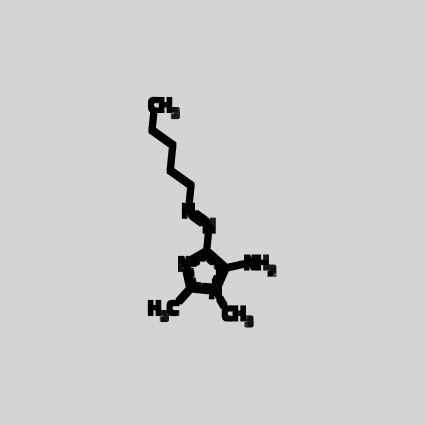 CCCCCN=Nc1nc(C)n(C)c1N